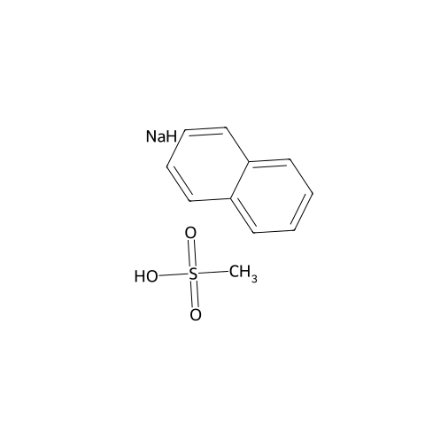 CS(=O)(=O)O.[NaH].c1ccc2ccccc2c1